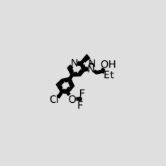 CCC(O)Cn1ncc2ncc(-c3ccc(Cl)c(OC(F)F)c3)cc21